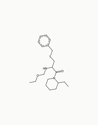 CCOCNC(CSCc1ccccc1)C(=O)N1CCCCC1CC